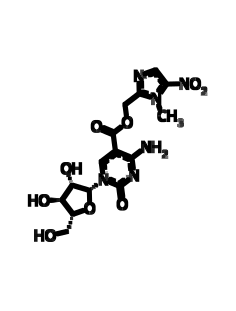 Cn1c([N+](=O)[O-])cnc1COC(=O)c1cn([C@@H]2O[C@H](CO)[C@@H](O)[C@@H]2O)c(=O)nc1N